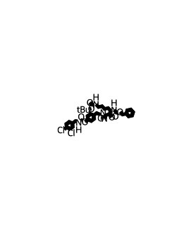 CC(C)(C)OC(=O)NCCCCC(NC(=O)OCc1ccccc1)C(=O)c1noc(Cc2ccc(OC(=O)NCc3ccc(Cl)c(Cl)c3)cc2)n1